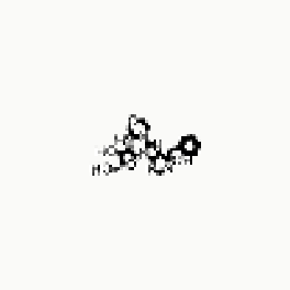 OC[C@H]1O[C@@H](N2C3=NC=NC(O)(Cc4ccccc4)C3=NC2N2CCOCC2)[C@H](S)[C@@H]1O